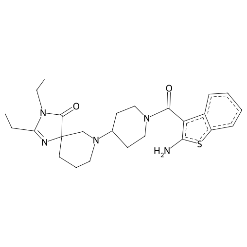 CCC1=NC2(CCCN(C3CCN(C(=O)c4c(N)sc5ccccc45)CC3)C2)C(=O)N1CC